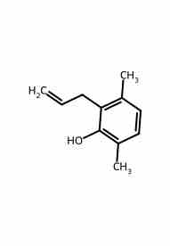 C=CCc1c(C)ccc(C)c1O